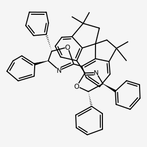 CC1(C)CC2(CC(C)(C)c3cccc(C4=N[C@@H](c5ccccc5)[C@H](c5ccccc5)O4)c32)c2c(C3=N[C@@H](c4ccccc4)[C@H](c4ccccc4)O3)cccc21